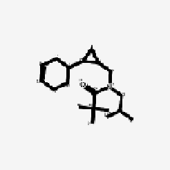 CC(C)CN(CC1CC1C1CC=CCC1)C(=O)C(C)(C)C